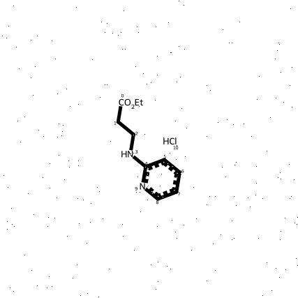 CCOC(=O)CCNc1ccccn1.Cl